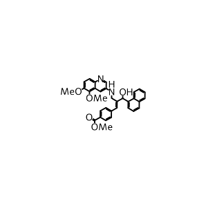 COC(=O)c1ccc(C=C(CNc2cnc3ccc(OC)c(OC)c3c2)C(O)c2cccc3ccccc23)cc1